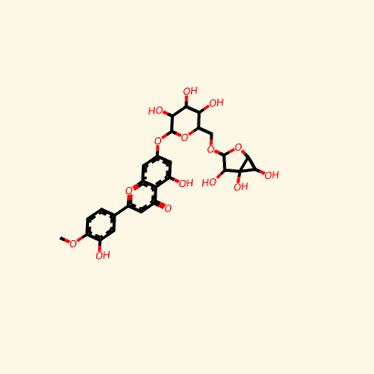 COc1ccc(-c2cc(=O)c3c(O)cc(OC4OC(COC5OC6C(O)C6(O)C5O)C(O)C(O)C4O)cc3o2)cc1O